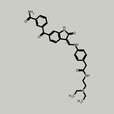 CCN(CC)CCNC(=O)Cc1ccc(N/C=C2\C(=O)Nc3cc(C(=O)c4cccc(C(N)=O)c4)ccc32)cc1